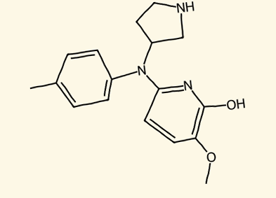 COc1ccc(N(c2ccc(C)cc2)C2CCNC2)nc1O